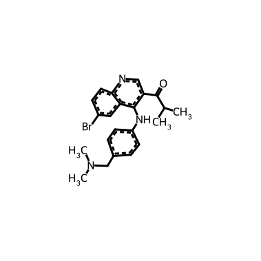 CC(C)C(=O)c1cnc2ccc(Br)cc2c1Nc1ccc(CN(C)C)cc1